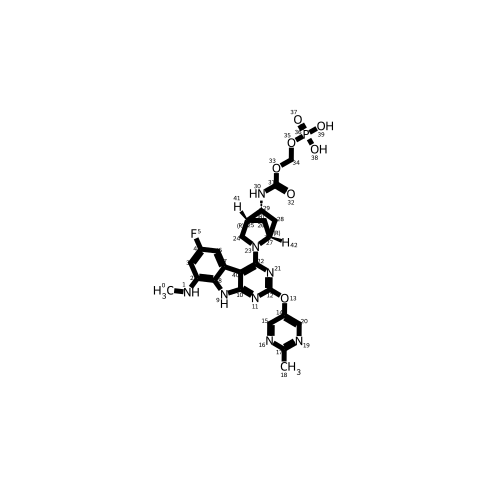 CNc1cc(F)cc2c1[nH]c1nc(Oc3cnc(C)nc3)nc(N3C[C@H]4C[C@@H]3C[C@H]4NC(=O)OCOP(=O)(O)O)c12